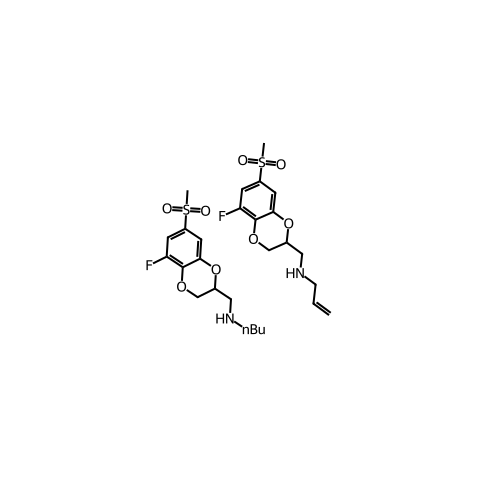 C=CCNCC1COc2c(F)cc(S(C)(=O)=O)cc2O1.CCCCNCC1COc2c(F)cc(S(C)(=O)=O)cc2O1